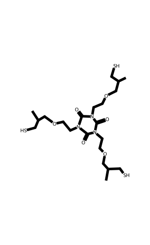 CC(CS)COCCn1c(=O)n(CCOCC(C)CS)c(=O)n(CCOCC(C)CS)c1=O